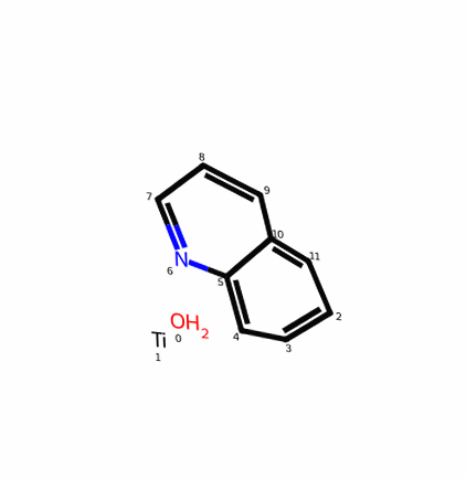 O.[Ti].c1ccc2ncccc2c1